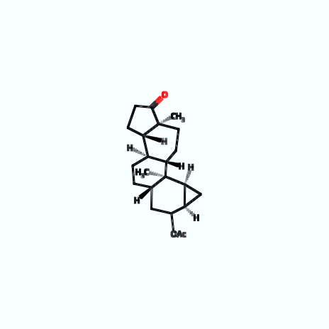 CC(=O)OC1C[C@@H]2CC[C@@H]3[C@H](CC[C@]4(C)C(=O)CC[C@@H]34)[C@@]2(C)[C@H]2C[C@@H]12